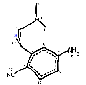 CN(C)/C=N\c1cc(N)ccc1C#N